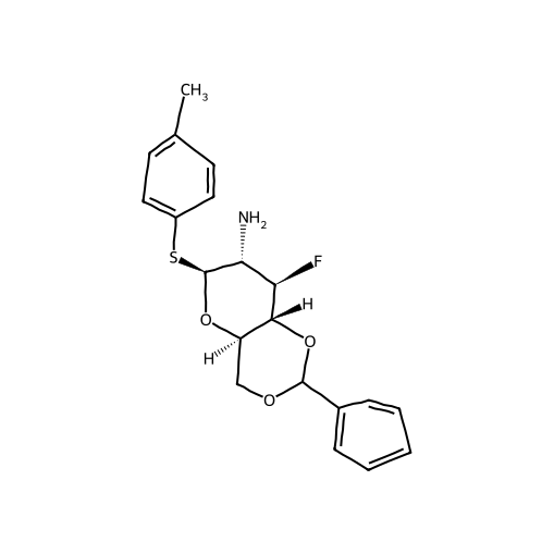 Cc1ccc(S[C@@H]2O[C@@H]3COC(c4ccccc4)O[C@H]3[C@H](F)[C@H]2N)cc1